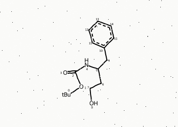 CC(C)(C)OC(=O)NC(CCO)Cc1ccccc1